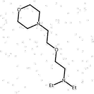 CCN(CC)CCOCCN1CCOCC1